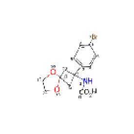 O=C(O)NC1(c2ccc(Br)cc2)CC2(C1)OCCO2